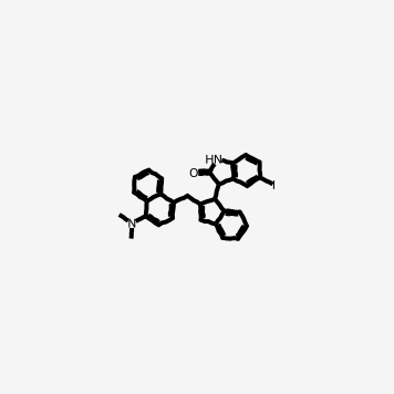 CN(C)c1ccc(CC2=Cc3ccccc3C2C2C(=O)Nc3ccc(I)cc32)c2ccccc12